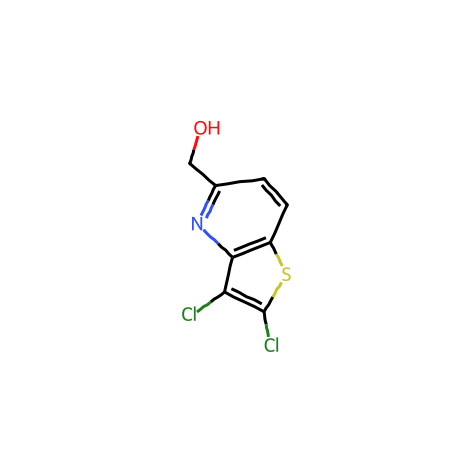 OCc1ccc2sc(Cl)c(Cl)c2n1